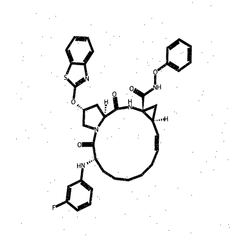 O=C1N[C@]2(C(=O)NOc3ccccc3)C[C@H]2/C=C\CCCCC[C@H](Nc2cccc(F)c2)C(=O)N2C[C@H](Oc3nc4ccccc4s3)C[C@@H]12